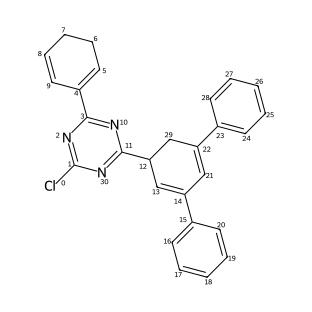 Clc1nc(C2=CCCC=C2)nc(C2C=C(c3ccccc3)C=C(c3ccccc3)C2)n1